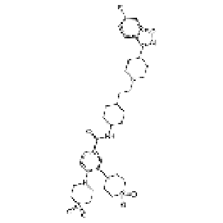 O=C(NC1CCC(CCN2CCC(c3noc4cc(F)ccc34)CC2)CC1)c1ccc(N2CCS(=O)(=O)CC2)c(N2CCS(=O)(=O)CC2)c1